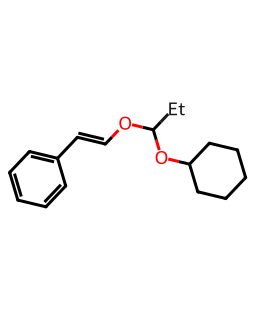 CCC(OC=Cc1ccccc1)OC1CCCCC1